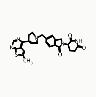 Cc1cc2c(C3=CCN(Cc4ccc5c(c4)CN(C4CCC(=O)NC4=O)C5=O)CC3)ncnc2s1